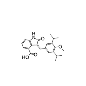 COc1c(C(C)C)cc(C=C2C(=O)Nc3cccc(C(=O)O)c32)cc1C(C)C